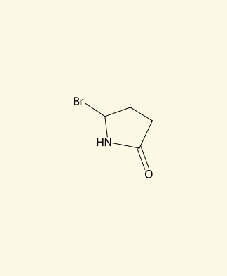 O=C1C[CH]C(Br)N1